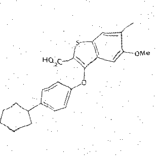 COc1cc2c(Oc3ccc(C4CCCCC4)cc3)c(C(=O)O)sc2cc1C